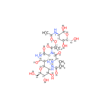 CC(=O)N[C@@H]1[C@@H](OC(C)C(=O)N(C(=O)[C@H](C)N)[C@H](CC([C]=O)C2O[C@H](CO)[C@@H](O)[C@H](O)[C@H]2NC(C)=O)C(N)=O)[C@H](O)[C@@H](CO)O[C@@H]1O